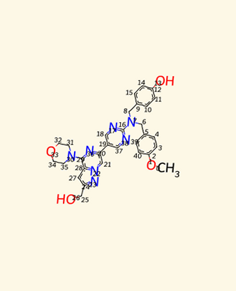 COc1ccc(CN(Cc2ccc(O)cc2)c2ncc(-c3cn4nc(CO)cc4c(N4CCOCC4)n3)cn2)cc1